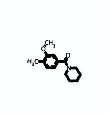 COc1cc(C(=O)N2CCCCC2)ccc1C